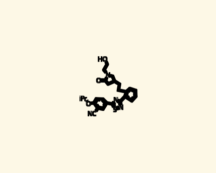 CC(C)Oc1ccc(-c2nc(-c3ccccc3CCC3CC(=O)N(CCO)C3)ns2)cc1C#N